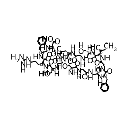 CC[C@H](C)[C@H](NC(=O)CNC(=O)[C@H](Cc1ccccc1)NC(=O)CNC(=O)CNC(=O)[C@@H](N)CO)C(=O)N[C@@H](CO)C(=O)NCC(=O)N[C@@H](CC(C)C)C(=O)NCC(=O)N[C@@H](CO)C(=O)N[C@@H](CCCNC(=N)N)C(=O)N[C@@H](Cc1ccccc1)C(=O)N[C@@H](CO)C(=O)O